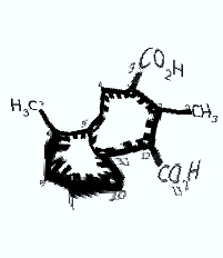 Cc1c(C(=O)O)cc2c(C)cccc2c1C(=O)O